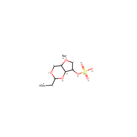 CCCCCCCCCCCC1OCC2OCC(OS(=O)(=O)[O-])C2O1.[Na+]